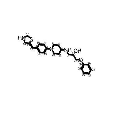 O[C@@H](CNC1CCN(c2ccc(C=C3CNCS3)cc2)CC1)COc1ccccc1